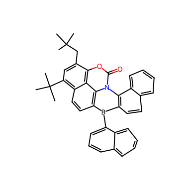 CC(C)(C)Cc1cc(C(C)(C)C)c2ccc3c4c2c1OC(=O)N4c1c(ccc2ccccc12)B3c1cccc2ccccc12